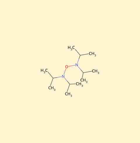 CC(C)N(ON(C(C)C)C(C)C)C(C)C